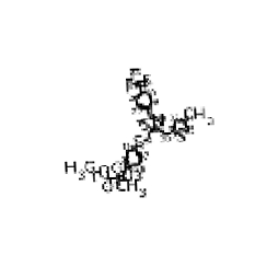 CCOC(=O)C(C)(C)Oc1ccc(SCc2sc(-c3ccc(C(F)(F)F)cc3)nc2Cc2cc(C)cs2)cc1